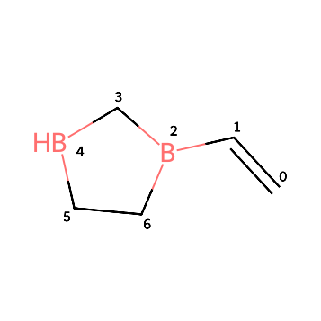 C=CB1CBCC1